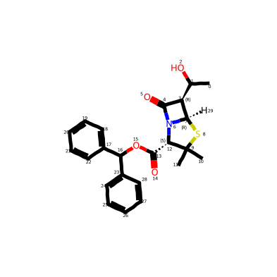 CC(O)[C@@H]1C(=O)N2[C@@H]1SC(C)(C)[C@@H]2C(=O)OC(c1ccccc1)c1ccccc1